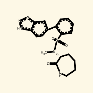 CN([C@@H]1CCCCNC1=O)S(=O)(=O)c1ccccc1-c1ccc2[nH]nnc2c1